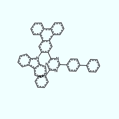 c1ccc(-c2ccc(-c3nc(-c4ccccc4)nc(-c4cc5c6ccccc6c6ccccc6c5cc4-n4c5ccccc5c5ccccc54)n3)cc2)cc1